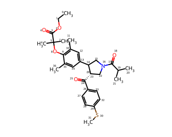 CCOC(=O)C(C)(C)Oc1c(C)cc(C2CN(C(=O)C(C)C)C[C@@H]2C(=O)c2ccc(SC)cc2)cc1C